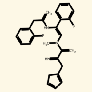 C=C(Cc1ccccc1F)N/C(=C\N(C)C(=C)C(=N)CC1=CC=CC1)c1ccccc1F